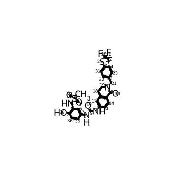 CS(=O)(=O)Nc1cc(NC(=O)Nc2ccc3c(c2)CCN(Cc2ccc(SC(F)(F)F)cc2)C3=O)ccc1O